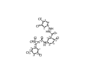 O=C(NNc1ccc(Cl)c(Cl)c1)c1cc(NC(=O)C2C(c3cc(Cl)cc(Cl)c3)C2(Cl)Cl)ccc1Cl